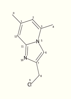 Cc1cc(C)n2cc(CCl)nc2c1